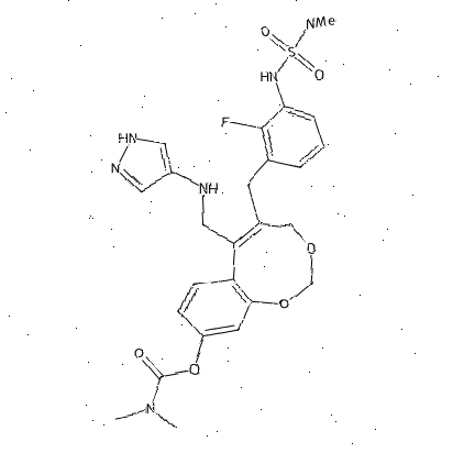 CNS(=O)(=O)Nc1cccc(C/C2=C(\CNc3cn[nH]c3)c3ccc(OC(=O)N(C)C)cc3OCOC2)c1F